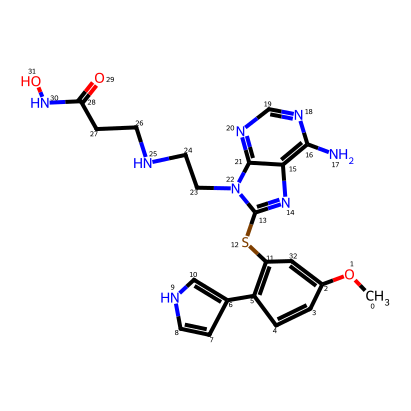 COc1ccc(-c2cc[nH]c2)c(Sc2nc3c(N)ncnc3n2CCNCCC(=O)NO)c1